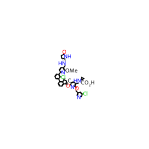 COc1nc(-c2cccc(-c3cccc4c3CC[C@@H]4Oc3nc(OCc4cncc(Cl)c4)c(CNC4(C(=O)O)CC4)cc3C(F)(F)F)c2Cl)ccc1CNC[C@@H]1CCC(=O)N1